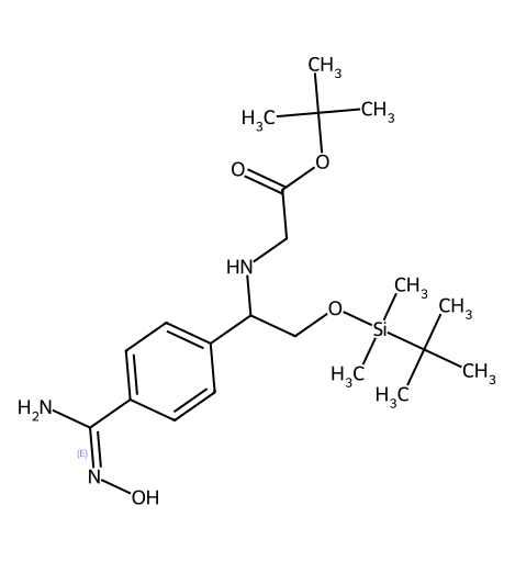 CC(C)(C)OC(=O)CNC(CO[Si](C)(C)C(C)(C)C)c1ccc(/C(N)=N\O)cc1